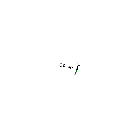 [Gd].[Li][F].[Pr]